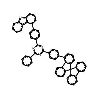 c1ccc(-c2nc(-c3ccc(-c4cccc5c4-c4ccccc4C54c5ccccc5-c5ccccc54)cc3)nc(-c3ccc(-c4cccc5oc6ccccc6c45)cc3)n2)cc1